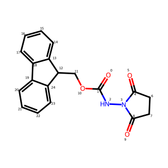 O=C(NN1C(=O)CCC1=O)OCC1c2ccccc2-c2ccccc21